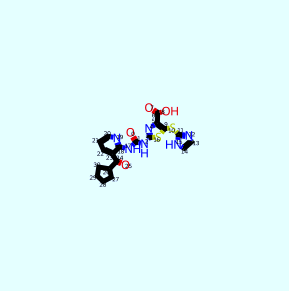 O=C(Nc1nc(C(=O)O)c(Sc2ncc[nH]2)s1)Nc1ncccc1C(=O)C1CCCC1